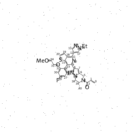 C=CC(=O)N1Cc2cc(-c3nc(-c4cnn(CC)c4)c4ccsc4c3-c3c(F)cc(F)cc3OCCOC)nn2C[C@H]1C